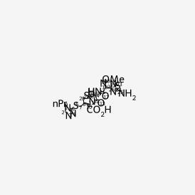 CCCn1cnnc1SCC1=C(C(=O)O)N2C(=O)C(NC(=O)C(=NOC)c3nsc(N)n3)[C@@H]2SC1